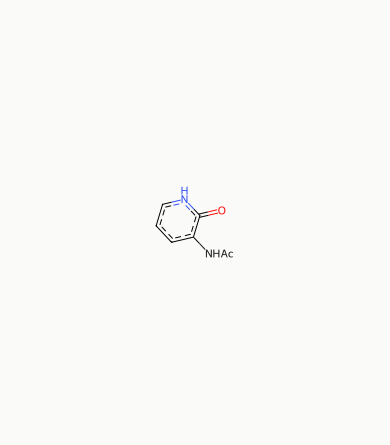 CC(=O)Nc1ccc[nH]c1=O